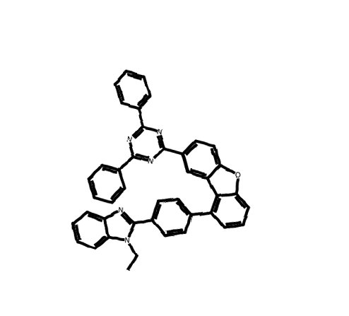 CCn1c(-c2ccc(-c3cccc4oc5ccc(-c6nc(-c7ccccc7)nc(-c7ccccc7)n6)cc5c34)cc2)nc2ccccc21